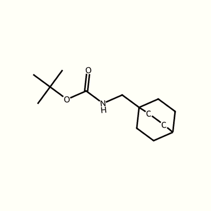 CC(C)(C)OC(=O)NCC12CCC(CC1)CC2